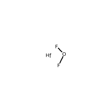 FOF.[Hf]